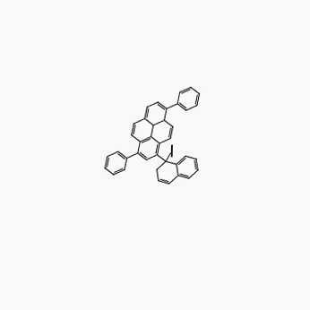 IC1(c2cc(-c3ccccc3)c3c4c2C=CC2C(c5ccccc5)=CC=C(C=C3)C42)CC=Cc2ccccc21